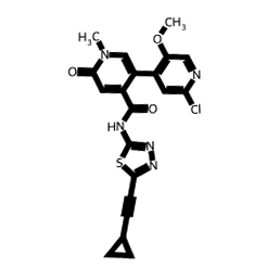 COc1cnc(Cl)cc1-c1cn(C)c(=O)cc1C(=O)Nc1nnc(C#CC2CC2)s1